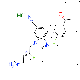 CC(=O)c1ccc(F)c(-c2cc(C#N)cc3c2ncn3C/C(F)=C/CN)c1.Cl